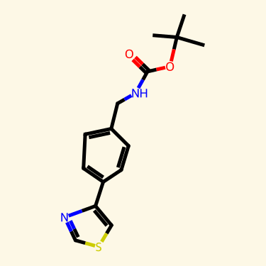 CC(C)(C)OC(=O)NCc1ccc(-c2cscn2)cc1